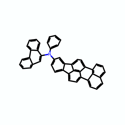 c1ccc(N(c2ccc3c(c2)-c2ccc4c5cccc6cccc(c7ccc-3c2c74)c65)c2cc3ccccc3c3ccccc23)cc1